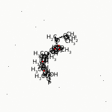 C=C1C[C@H](CC[C@]23C[C@@H](OC)[C@H](O2)[C@H]2C[C@@H](O3)[C@H]3O[C@@H](CC(=O)O[C@@H]4[C@@H](C)[C@@H]5O[C@@H]6C[C@]7(C[C@@H]8O[C@]9(C[C@H](C)[C@@H]%10O[C@H](COSI)[C@H](O)C[C@@H]%10O9)C[C@H](C)[C@@H]8O7)O[C@]6(C)C[C@@H]5O[C@H]4C)CC[C@@H]3O2)O[C@H]1CCC[C@H]1C[C@@H](C)C(=C)[C@@H](C)O1